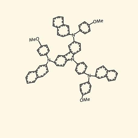 COc1ccc(N(c2ccc(-n3c4ccc(N(c5ccc(OC)cc5)c5ccc6ccccc6c5)cc4c4cc(N(c5ccc(OC)cc5)c5ccc6ccccc6c5)ccc43)cc2)c2ccc3ccccc3c2)cc1